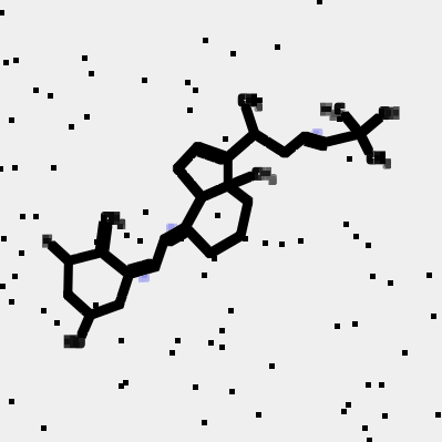 C=C1/C(=C\C=C2/CCCC3(C)C(C(C)C/C=C/C(C)(C)O)=CCC23)CC(O)CC1F